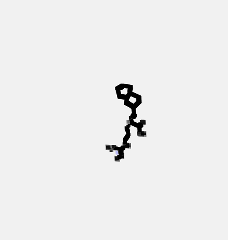 [H]/N=C(\N)NCCC[C@H](N=Cc1ccc2ccccc2c1)C(=O)O